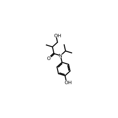 CC(CO)C(=O)N(c1ccc(O)cc1)C(C)C